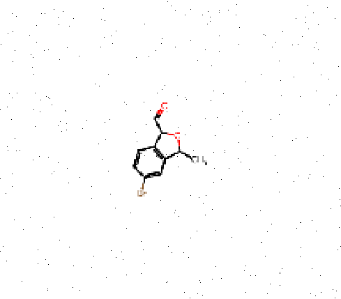 CC1OC(C=O)c2ccc(Br)cc21